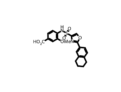 COc1cc(C(=O)O)ccc1NS(=O)(=O)c1coc(-c2ccc3c(c2)CCCC3)n1